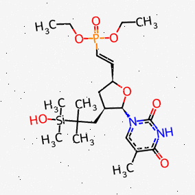 CCOP(=O)(/C=C/[C@@H]1C[C@H](CC(C)(C)[Si](C)(C)O)[C@H](n2cc(C)c(=O)[nH]c2=O)O1)OCC